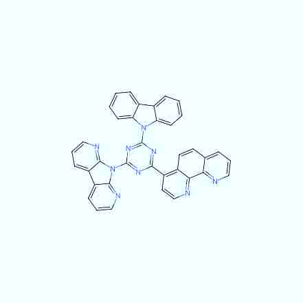 c1cnc2c(c1)ccc1c(-c3nc(-n4c5ccccc5c5ccccc54)nc(-n4c5ncccc5c5cccnc54)n3)ccnc12